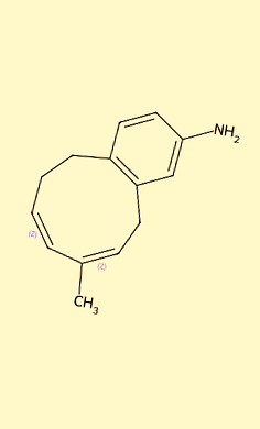 CC1=C/Cc2cc(N)ccc2CC/C=C\1